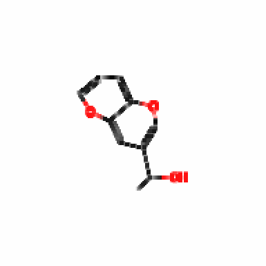 CC(O)C1=COC2=CC=COC2=C1